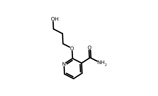 NC(=O)c1cccnc1OCCCO